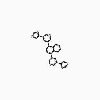 c1ccc2c(-c3cncc(-c4cncs4)c3)ccc(-c3cncc(-c4cncs4)c3)c2c1